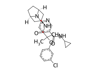 CC(C)(Oc1cccc(Cl)c1)C(=O)N[C@H]1C[C@H]2CC[C@@H](C1)N2c1ccc(C(=O)NC2CC2)cn1